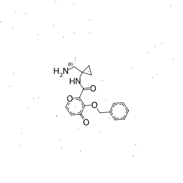 C[C@@H](N)C1(NC(=O)c2occc(=O)c2OCc2ccccc2)CC1